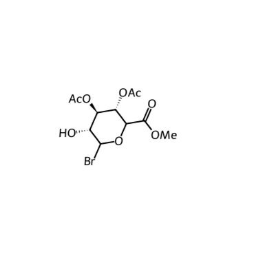 COC(=O)C1OC(Br)[C@H](O)[C@@H](OC(C)=O)[C@@H]1OC(C)=O